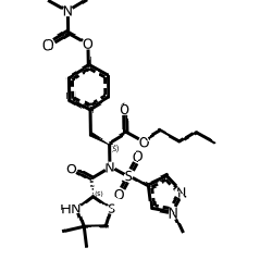 CCCCOC(=O)[C@H](Cc1ccc(OC(=O)N(C)C)cc1)N(C(=O)[C@H]1NC(C)(C)CS1)S(=O)(=O)c1cnn(C)c1